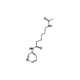 CC(=O)NCCCCCC(=O)Nc1cccnc1